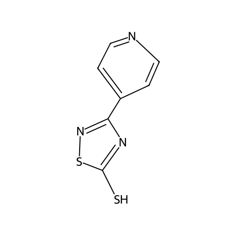 Sc1nc(-c2ccncc2)ns1